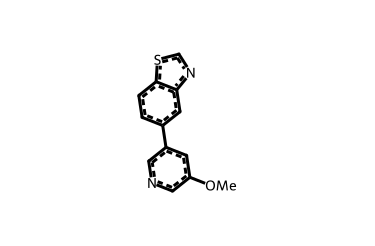 COc1cncc(-c2ccc3scnc3c2)c1